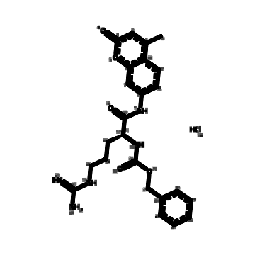 Cc1cc(=O)oc2cc(NC(=O)[C@H](CCCNC(=N)N)NC(=O)OCc3ccccc3)ccc12.Cl